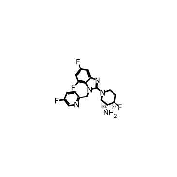 N[C@@H]1CN(c2nc3cc(F)cc(F)c3n2Cc2ccc(F)cn2)CC[C@H]1F